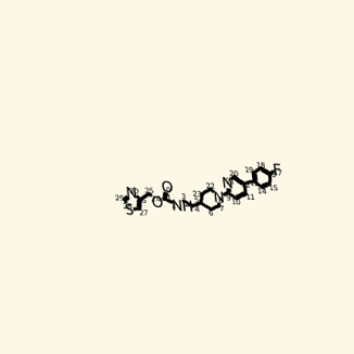 O=C(NCCC1CCN(c2ccc(-c3ccc(F)cc3)cn2)CC1)OCc1cscn1